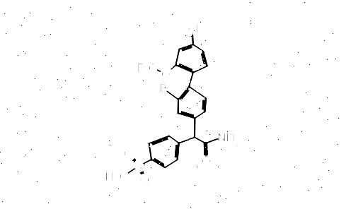 CS(=O)(=O)c1ccc(C(C(N)=O)c2ccc(-c3ccc(Cl)cc3OC(F)(F)F)c(F)c2)cc1